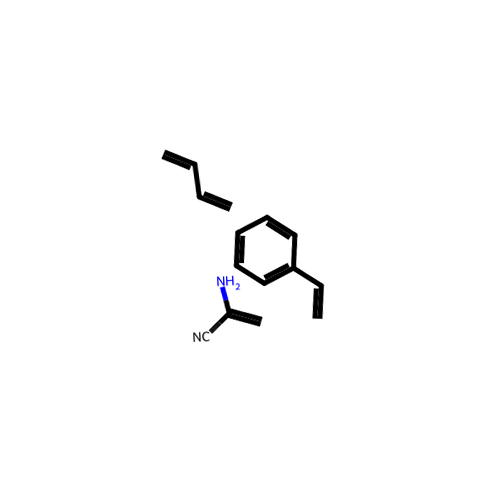 C=C(N)C#N.C=CC=C.C=Cc1ccccc1